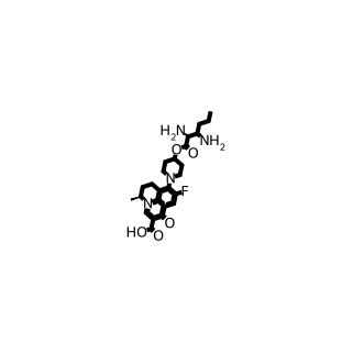 CCCC(N)[C@H](N)C(=O)OC1CCN(c2c(F)cc3c(=O)c(C(=O)O)cn4c3c2CC[C@@H]4C)CC1